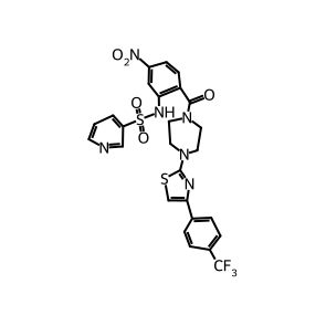 O=C(c1ccc([N+](=O)[O-])cc1NS(=O)(=O)c1cccnc1)N1CCN(c2nc(-c3ccc(C(F)(F)F)cc3)cs2)CC1